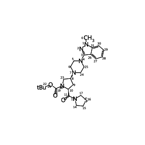 Cn1nc(N2CCN([C@H]3C[C@@H](C(=O)N4CCSC4)N(C(=O)OC(C)(C)C)C3)CC2)c2ccccc21